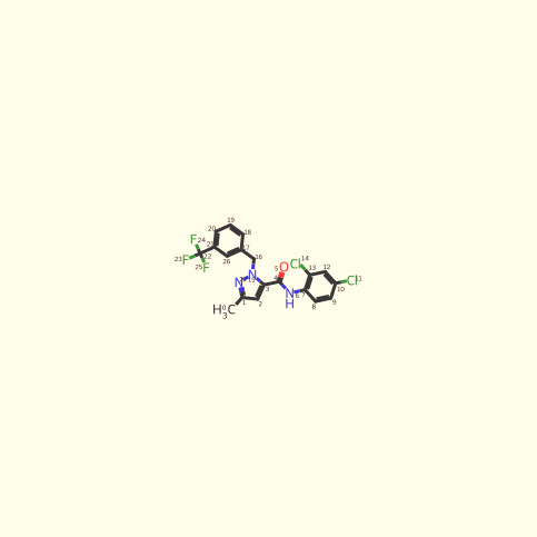 Cc1cc(C(=O)Nc2ccc(Cl)cc2Cl)n(Cc2cccc(C(F)(F)F)c2)n1